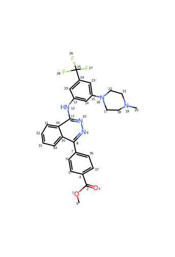 COC(=O)c1ccc(-c2nnc(Nc3cc(N4CCN(C)CC4)cc(C(F)(F)F)c3)c3ccccc23)cc1